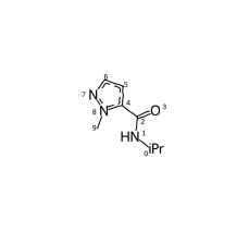 CC(C)NC(=O)c1ccnn1C